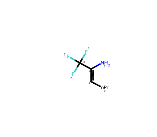 CCCC=C(N)C(F)(F)F